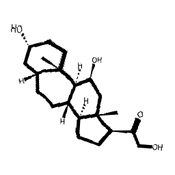 C[C@]12CC[C@@H](O)C[C@H]1CC[C@@H]1[C@@H]2[C@@H](O)C[C@]2(C)[C@@H](C(=O)CO)CC[C@@H]12